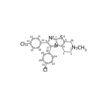 CN1CCc2c(sc3nc(-c4ccc(Cl)cc4)c(-c4ccc(Cl)cc4)n23)C1